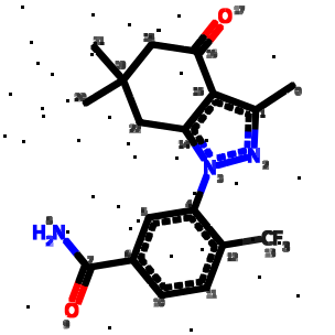 Cc1nn(-c2cc(C(N)=O)ccc2C(F)(F)F)c2c1C(=O)CC(C)(C)C2